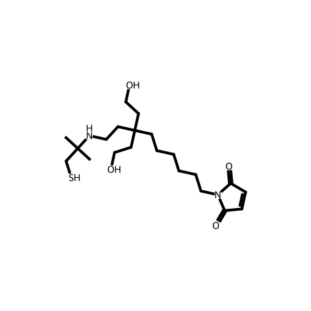 CC(C)(CS)NCCC(CCO)(CCO)CCCCCCN1C(=O)C=CC1=O